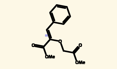 COC(=O)CO/C(=C\c1ccccc1)C(=O)OC